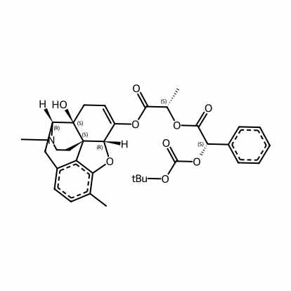 Cc1ccc2c3c1O[C@H]1C(OC(=O)[C@H](C)OC(=O)[C@@H](OC(=O)OC(C)(C)C)c4ccccc4)=CC[C@@]4(O)[C@@H](C2)N(C)CC[C@]314